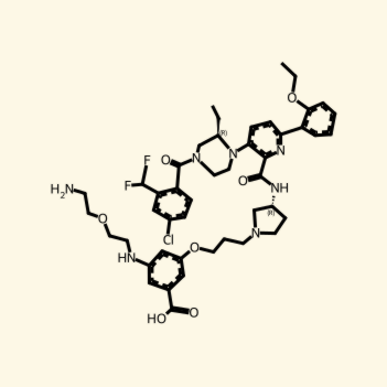 CCOc1ccccc1-c1ccc(N2CCN(C(=O)c3ccc(Cl)cc3C(F)F)C[C@H]2CC)c(C(=O)N[C@@H]2CCN(CCCOc3cc(NCCOCCN)cc(C(=O)O)c3)C2)n1